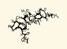 COc1cc2c(cc1Nc1ncc(Cl)c(-n3cc(CC(=O)O)c4cc(F)ccc43)n1)CN(C)CC2